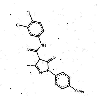 COc1ccc(N2N=C(C)C(C(=O)Nc3ccc(Cl)c(Cl)c3)C2=O)cc1